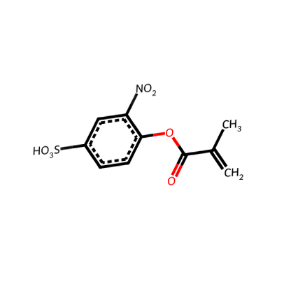 C=C(C)C(=O)Oc1ccc(S(=O)(=O)O)cc1[N+](=O)[O-]